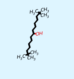 CC(C)(C)CCCCCC(O)CCCCCC(C)(C)C